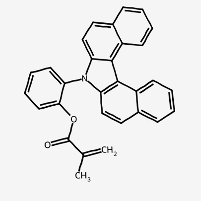 C=C(C)C(=O)Oc1ccccc1-n1c2ccc3ccccc3c2c2c3ccccc3ccc21